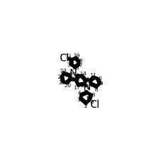 Clc1cccc(-n2c3ccccc3c3cc4c(cc32)c2ccccc2n4-c2cccc(Cl)c2)c1